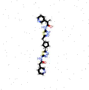 C[C@@H](C(=O)Nc1nnc(C[C@H]2CC[C@@H](c3nnc(NC(=O)Cc4cccnc4)s3)C2)s1)c1cccnc1